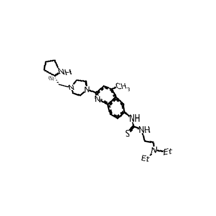 CCN(CC)CCNC(=S)Nc1ccc2nc(N3CCN(C[C@@H]4CCCN4)CC3)cc(C)c2c1